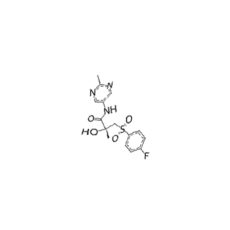 Cc1ncc(NC(=O)[C@@](C)(O)CS(=O)(=O)c2ccc(F)cc2)cn1